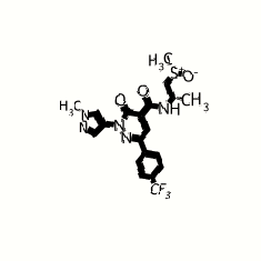 C[C@@H](C[S@+](C)[O-])NC(=O)c1cc(-c2ccc(C(F)(F)F)cc2)nn(-c2cnn(C)c2)c1=O